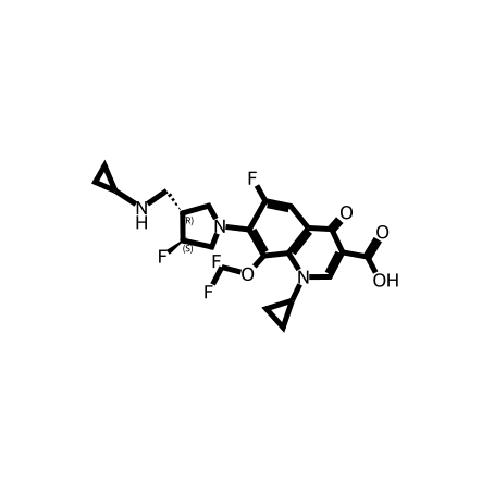 O=C(O)c1cn(C2CC2)c2c(OC(F)F)c(N3C[C@@H](CNC4CC4)[C@H](F)C3)c(F)cc2c1=O